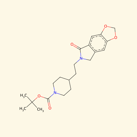 CC(C)(C)OC(=O)N1CCC(CCN2Cc3cc4c(cc3C2=O)OCO4)CC1